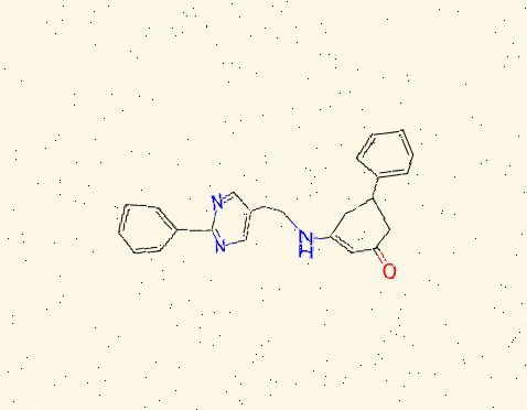 O=C1C=C(NCc2cnc(-c3ccccc3)nc2)CC(c2ccccc2)C1